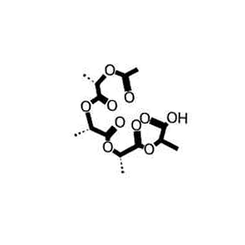 CC(=O)O[C@@H](C)C(=O)O[C@@H](C)C(=O)O[C@@H](C)C(=O)OC(C)C(=O)O